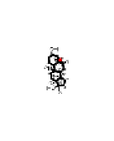 C[C@@H]1C[C@H](O)C[C@]2(Br)[C@H]3C[C@@H]4[C@H](CC[C@@]5(C)[C@H]4CC[C@]5(C)O)[C@@]12CO3